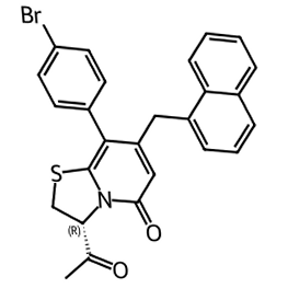 CC(=O)[C@@H]1CSc2c(-c3ccc(Br)cc3)c(Cc3cccc4ccccc34)cc(=O)n21